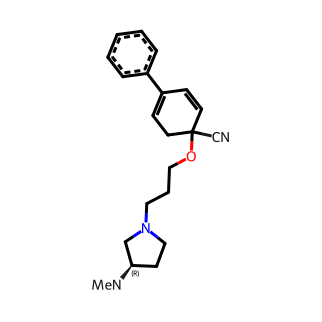 CN[C@@H]1CCN(CCCOC2(C#N)C=CC(c3ccccc3)=CC2)C1